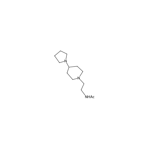 CC(=O)NCCN1CCC(N2CCCC2)CC1